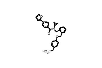 O=C(O)Cc1ccc(OCc2ccccc2CN(C(=O)c2ccc(-c3ccco3)cc2)C2CC2)cc1